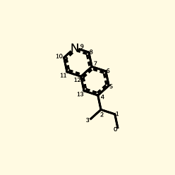 CCC(C)c1ccc2cnccc2c1